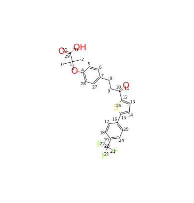 CC(C)(Oc1ccc(CCC(=O)c2ccc(-c3ccc(C(F)(F)F)cc3)s2)cc1)C(=O)O